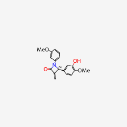 C=C1C(=O)N(c2cccc(OC)c2)[C@H]1c1ccc(OC)c(O)c1